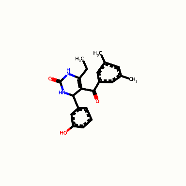 CCC1=C(C(=O)c2cc(C)cc(C)c2)C(c2cccc(O)c2)NC(=O)N1